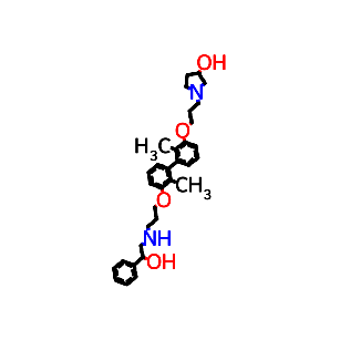 Cc1c(OCCCNCC(O)c2ccccc2)cccc1-c1cccc(OCCCN2CCC(O)C2)c1C